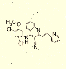 COc1cc(Nc2c(C#N)c(/C=C/c3ccccn3)nc3ccccc23)c(Cl)cc1Cl